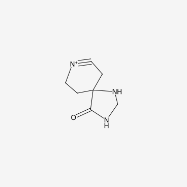 O=C1NCNC12CC#[N+]CC2